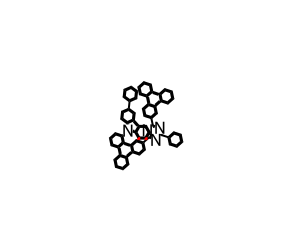 c1ccc(-c2ccc3c(c2)c2ccccc2n3-c2cccc3c4ccccc4c4ccc(-c5nc(-c6ccccc6)nc(-c6ccc7c8ccccc8c8ccccc8c7c6)n5)cc4c23)cc1